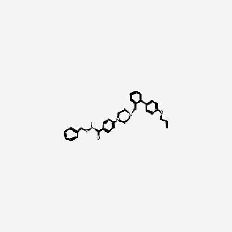 C=CCOc1ccc(-c2ccccc2CN2CCN(c3ccc(C(=O)NSCc4ccccc4)cc3)CC2)cc1